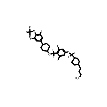 CCCCC1CCC(C(F)(F)Oc2cc(F)c(C(F)(F)OC3CCC(c4cc(F)c(OC(F)(F)F)c(F)c4)CC3)c(F)c2)CC1